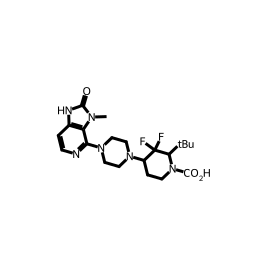 Cn1c(=O)[nH]c2ccnc(N3CCN(C4CCN(C(=O)O)C(C(C)(C)C)C4(F)F)CC3)c21